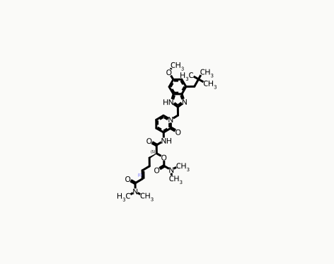 COc1cc(CC(C)(C)C)c2nc(Cn3cccc(NC(=O)[C@H](CC/C=C/C(=O)N(C)C)OC(=O)N(C)C)c3=O)[nH]c2c1